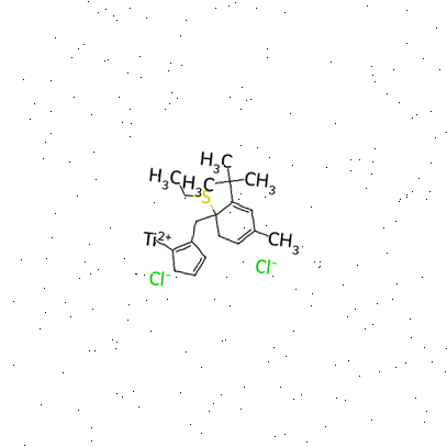 CCSC1(CC2=[C]([Ti+2])CC=C2)CC=C(C)C=C1C(C)(C)C.[Cl-].[Cl-]